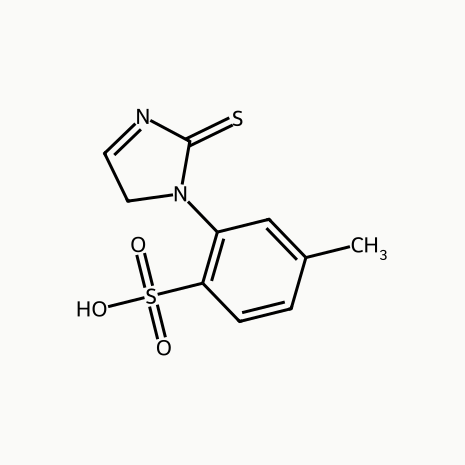 Cc1ccc(S(=O)(=O)O)c(N2CC=NC2=S)c1